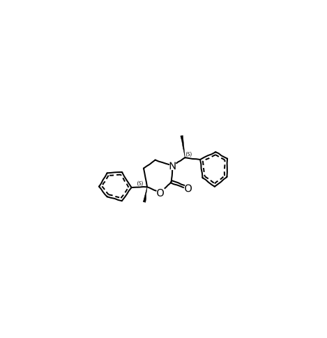 C[C@@H](c1ccccc1)N1CC[C@@](C)(c2ccccc2)OC1=O